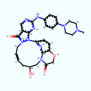 CN1CCN(c2ccc(Nc3ncc4c(=O)n5n(c4n3)-c3ccc4c(n3)N(CC(O)C/C=C\C5)C(=O)CO4)cc2)CC1